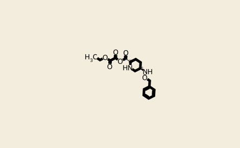 CCOC(=O)C(=O)OC(=O)[C@@H]1CC[C@@H](NOCc2ccccc2)CN1